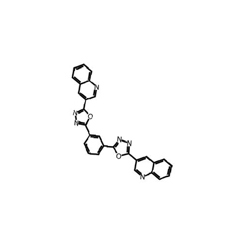 c1cc(-c2nnc(-c3cnc4ccccc4c3)o2)cc(-c2nnc(-c3cnc4ccccc4c3)o2)c1